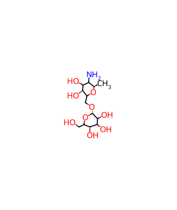 C[C@H]1OC(CO[C@H]2OC(CO)[C@H](O)C(O)C2O)[C@@H](O)C(O)C1N